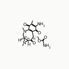 CC1=C(N)C(=O)C2=C(C1=O)N(C)C[C@@H]1[C@H](C(=O)[C@H]2COC(N)=O)N1C